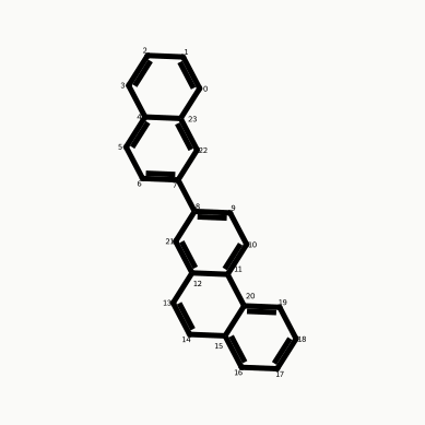 [c]1cccc2ccc(-c3ccc4c(ccc5ccccc54)c3)cc12